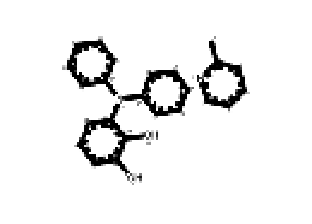 Cc1ccccn1.Oc1cccc(N(c2ccccc2)c2ccccc2)c1O